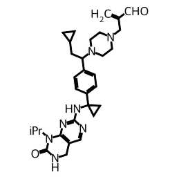 C=C(C=O)CN1CCN(C(CC2CC2)c2ccc(C3(Nc4ncc5c(n4)N(C(C)C)C(=O)NC5)CC3)cc2)CC1